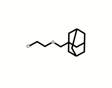 ClCCOCC12CC3CC(CC(C3)C1)C2